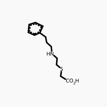 O=C(O)CSCCNCCCc1ccccc1